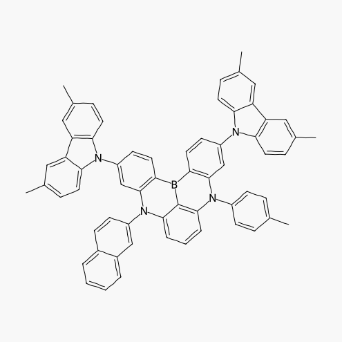 Cc1ccc(N2c3cc(-n4c5ccc(C)cc5c5cc(C)ccc54)ccc3B3c4ccc(-n5c6ccc(C)cc6c6cc(C)ccc65)cc4N(c4ccc5ccccc5c4)c4cccc2c43)cc1